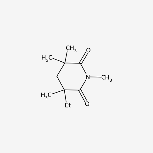 CCC1(C)CC(C)(C)C(=O)N(C)C1=O